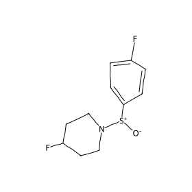 [O-][S+](c1ccc(F)cc1)N1CCC(F)CC1